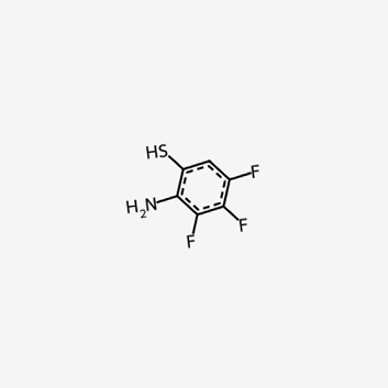 Nc1c(S)cc(F)c(F)c1F